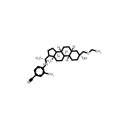 CCOC[C@@]1(O)CC[C@H]2[C@H](CC[C@@H]3[C@@H]2CC[C@]2(C)C([C@@H](C)Nc4ccc(C#N)cc4C)CC[C@@H]32)C1